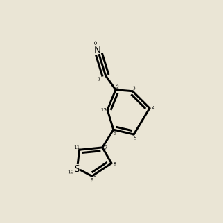 N#Cc1cccc(-c2c[c]sc2)c1